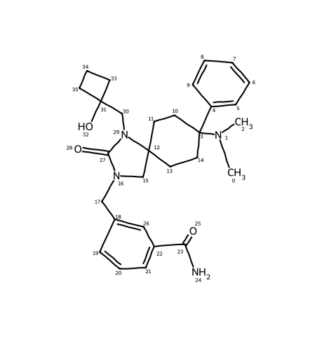 CN(C)C1(c2ccccc2)CCC2(CC1)CN(Cc1cccc(C(N)=O)c1)C(=O)N2CC1(O)CCC1